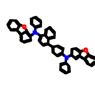 c1ccc(N(c2ccc(-c3ccc(N(c4ccccc4)c4cccc5c4oc4ccccc45)c4ccccc34)cc2)c2ccc3oc4ccccc4c3c2)cc1